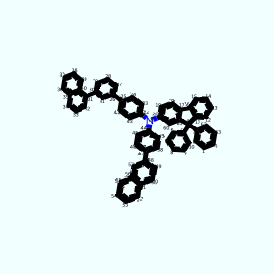 c1ccc(C2(c3ccccc3)c3ccccc3-c3ccc(N(c4ccc(-c5cccc(-c6cccc7ccccc67)c5)cc4)c4ccc(-c5ccc6ccccc6c5)cc4)cc32)cc1